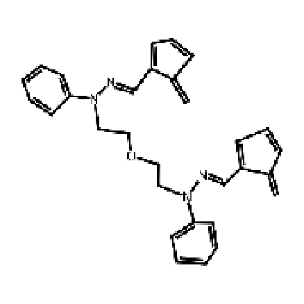 C=C1C=CC=C1/C=N/N(CCOCCN(/N=C/C1=CC=CC1=C)c1ccccc1)c1ccccc1